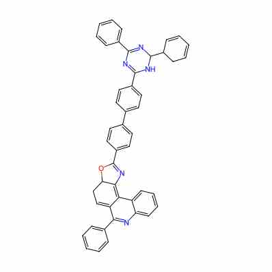 C1=CCC(C2N=C(c3ccccc3)N=C(c3ccc(-c4ccc(C5=NC6=c7c(c(-c8ccccc8)nc8ccccc78)=CCC6O5)cc4)cc3)N2)C=C1